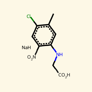 Cc1cc(NCC(=O)O)c([N+](=O)[O-])cc1Cl.[NaH]